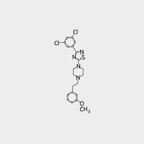 COc1cccc(CCN2CCN(c3nc(-c4cc(Cl)cc(Cl)c4)ns3)CC2)c1